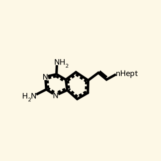 CCCCCCCC=Cc1ccc2nc(N)nc(N)c2c1